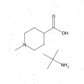 CC(C)(C)N.CN1CCC(C(=O)O)CC1